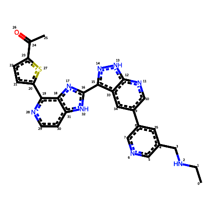 CCNCc1cncc(-c2cnc3[nH]nc(-c4nc5c(-c6ccc(C(C)=O)s6)nccc5[nH]4)c3c2)c1